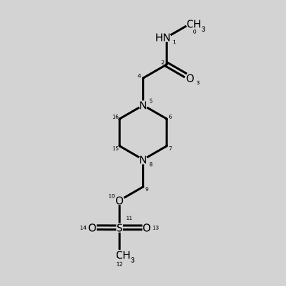 CNC(=O)CN1CCN(COS(C)(=O)=O)CC1